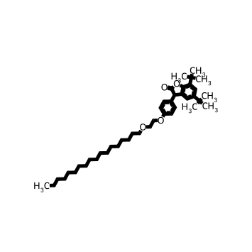 CCCCCCCCCCCCCCCCCCOCCOc1ccc(C2C(=O)Oc3c2cc(C(C)(C)C)cc3C(C)(C)C)cc1